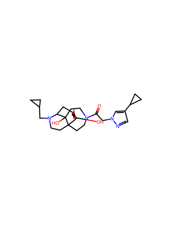 O=C(Cn1cc(C2CC2)cn1)N1CCC23CCN(CC4CC4)C(Cc4ccc(O)cc42)C3(O)CC1